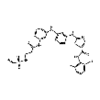 C=CS(=O)(=O)NCCC(=O)Nc1cccc(Nc2nccc(Nc3ncc(C(=O)Nc4c(C)cccc4Cl)s3)n2)c1